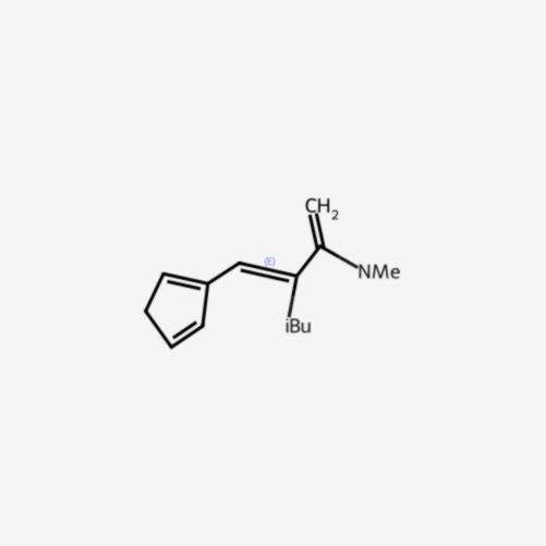 C=C(NC)/C(=C/C1=CCC=C1)C(C)CC